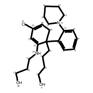 OCCCCC1(c2ccccc2N2CCCCC2)[CH]C=C(Cl)C=C1NCCCO